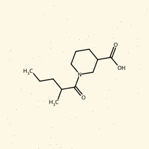 CCCC(C)C(=O)N1CCCC(C(=O)O)C1